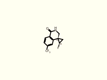 O=C1NC[C@]2(C[C@H]2F)c2cc(C(F)(F)F)ccc21